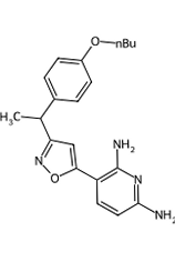 CCCCOc1ccc(C(C)c2cc(-c3ccc(N)nc3N)on2)cc1